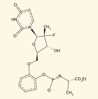 CCOC(=O)[C@H](C)/N=[P+](\[O-])Oc1ccccc1OC[C@H]1O[C@@H](n2ccc(=O)[nH]c2=O)[C@](C)(F)[C@@H]1O